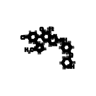 CCn1c(=O)c(-c2ccc(Cl)cc2-c2cccn2C)cc2cnc(Nc3ccc(OC4CCCNC4)cc3)nc21